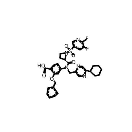 O=C(O)c1ccc(N(Cc2cnc(C3CCCCC3)cn2)C(=O)[C@H]2CCN2S(=O)(=O)c2cnc(F)c(F)c2)cc1OCc1ccccc1